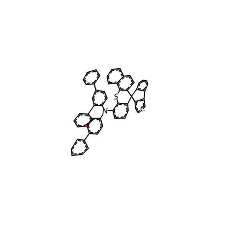 c1ccc(-c2ccc(N(c3ccc(-c4ccccc4)cc3-c3ccccc3)c3cccc4c3Sc3c(ccc5ccccc35)C43c4ccccc4-c4ccccc43)cc2)cc1